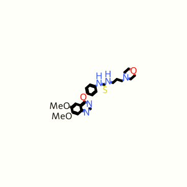 COc1cc2ncnc(Oc3ccc(NC(=S)NCCCN4CCOCC4)cc3)c2cc1OC